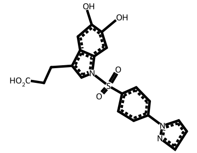 O=C(O)CCc1cn(S(=O)(=O)c2ccc(-n3cccn3)cc2)c2cc(O)c(O)cc12